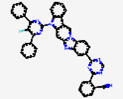 N#Cc1ccccc1-c1ncnc(-c2ccc3c(c2)nc2cc4c(cn23)c2ccccc2n4-c2nc(-c3ccccc3)c(F)c(-c3ccccc3)n2)n1